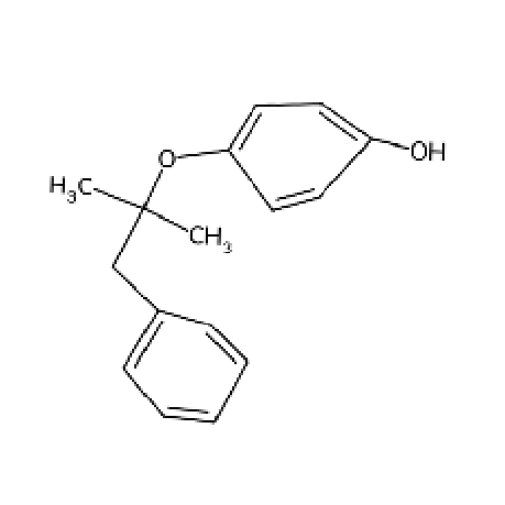 CC(C)(Cc1ccccc1)Oc1ccc(O)cc1